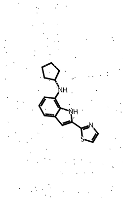 c1cc(NC2CCCC2)c2[nH]c(-c3nccs3)cc2c1